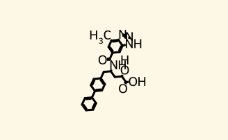 Cc1cc(C(=O)NC(Cc2ccc(-c3ccccc3)cc2)CC(O)C(=O)O)cc2[nH]nnc12